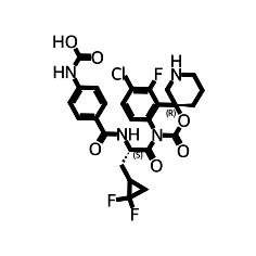 O=C(O)Nc1ccc(C(=O)N[C@@H](CC2CC2(F)F)C(=O)N2C(=O)O[C@]3(CCCNC3)c3c2ccc(Cl)c3F)cc1